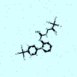 N=C(/N=c1\ccccn1-c1ccc(C(F)(F)F)nc1)SCC(=O)C(F)(F)F